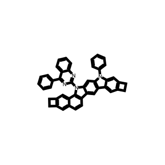 c1ccc(-c2nc(-n3c4cc5c(cc4c4ccc6cc7c(cc6c43)CC7)c3cc4c(cc3n5-c3ccccc3)CC4)nc3ccccc23)cc1